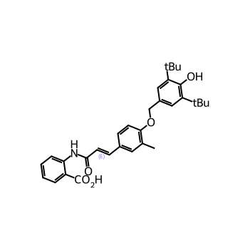 Cc1cc(/C=C/C(=O)Nc2ccccc2C(=O)O)ccc1OCc1cc(C(C)(C)C)c(O)c(C(C)(C)C)c1